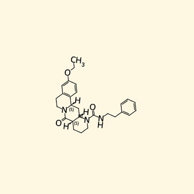 CCOc1ccc2c(c1)CCN1C(=O)[C@H]3CCCN(C(=O)NCCc4ccccc4)[C@H]3C[C@@H]21